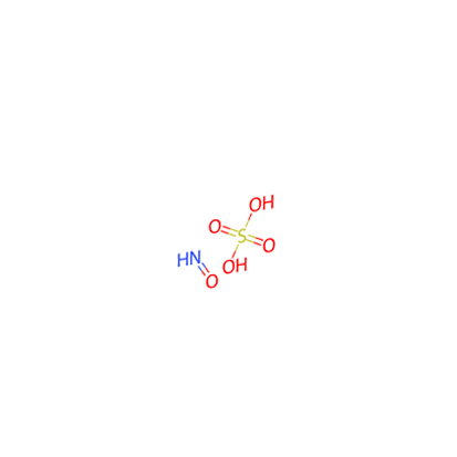 N=O.O=S(=O)(O)O